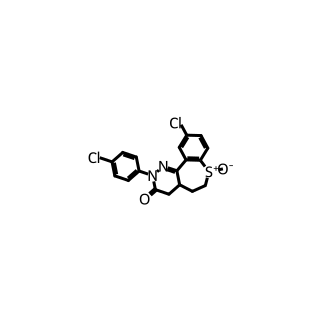 O=C1CC2CC[S+]([O-])c3ccc(Cl)cc3C2=NN1c1ccc(Cl)cc1